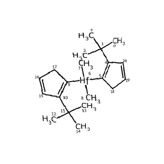 CC(C)(C)C1=[C]([Hf]([CH3])([CH3])[C]2=C(C(C)(C)C)C=CC2)CC=C1